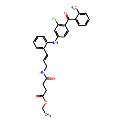 CCOC(=O)CCC(=O)NCC=Cc1ccccc1Nc1ccc(C(=O)c2ccccc2C)c(Cl)c1